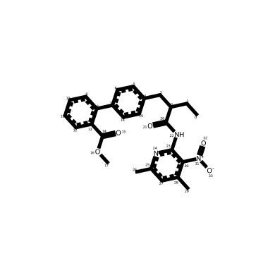 CCC(Cc1ccc(-c2ccccc2C(=O)OC)cc1)C(=O)Nc1nc(C)cc(C)c1[N+](=O)[O-]